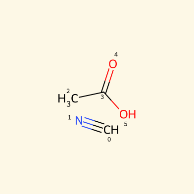 C#N.CC(=O)O